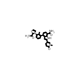 Cc1c(-c2ccc(C(N)=O)c3[nH]c(-c4ccc(=O)n(C)c4)cc23)cccc1N1C=CSC1C(N)=O